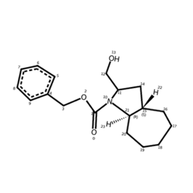 O=C(OCc1ccccc1)N1C(CO)C[C@@H]2CCCCC[C@H]21